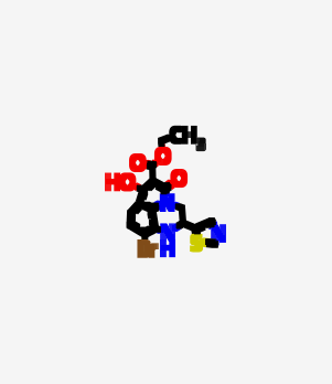 CCOC(=O)c1c(O)c2ccc(Br)c3c2n(c1=O)CC(c1cncs1)N3